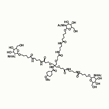 CC(=O)NC1C(OCCCCC(=O)NCCCNC(=O)CCOCC(COCCC(=O)NCCCNC(=O)CCCCOC2OC(CO)C(O)C(O)C2NC(C)=O)(COCCC(=O)NCCCNC(=O)CCCCOC2OC(CO)C(O)C(O)C2NC(C)=O)NC(=O)C2CCC(OC(C)(C)C)CC2)OC(CO)C(O)C1O